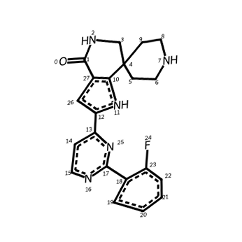 O=C1NCC2(CCNCC2)c2[nH]c(-c3ccnc(-c4ccccc4F)n3)cc21